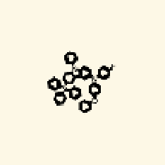 Fc1ccc(N(c2ccc(Oc3ccccc3)cc2)c2ccc3c(c2)c2cc([Si](c4ccccc4)(c4ccccc4)c4ccccc4)ccc2n3-c2ccccc2)cc1